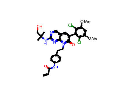 C=CC(=O)Nc1ccc(CCn2c(=O)c(-c3c(Cl)c(OC)cc(OC)c3Cl)cc3cnc(NC(C)(C)CO)nc32)cc1